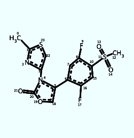 Cc1nc(-n2c(-c3cc(F)c(S(C)(=O)=O)cc3F)coc2=O)cs1